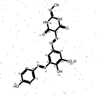 N#CN=C1NC(=O)C(N=Nc2cc(N=Nc3ccc(O)cc3)c(O)c(S(=O)(=O)O)c2)C(=O)N1